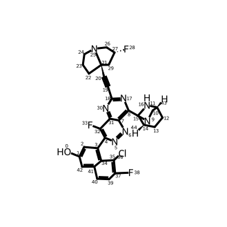 Oc1cc(-c2nnc3c(N4C[C@H]5CC[C@@H]4CN5)nc(C#C[C@@]45CCCN4C[C@H](F)C5)nc3c2F)c2c(Cl)c(F)ccc2c1